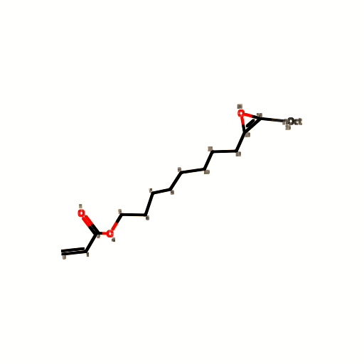 C=CC(=O)OCCCCCCCCC1=C(CCCCCCCC)O1